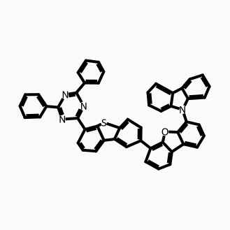 c1ccc(-c2nc(-c3ccccc3)nc(-c3cccc4c3sc3ccc(-c5cccc6c5oc5c(-n7c8ccccc8c8ccccc87)cccc56)cc34)n2)cc1